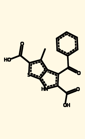 Cc1c(C(=O)O)sc2[nH]c(C(=O)O)c(C(=O)c3ccccc3)c12